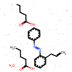 C=CCc1ccccc1N=Nc1ccccc1.CCCCC(=O)O.CCCCC(=O)O.O